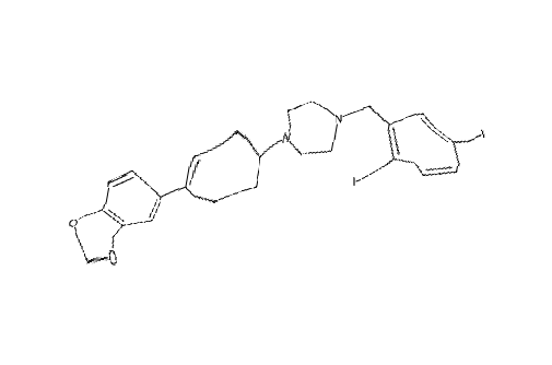 Ic1ccc(I)c(CN2CCN(C3CC=C(c4ccc5c(c4)OCO5)CC3)CC2)c1